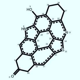 O=C1Cc2cc3[nH]c4c(O)c5c6c(nc7sc8cc(c2c2c3c4c6c7c82)C1)CCC5